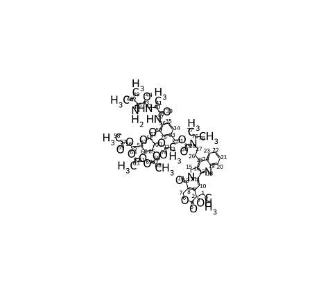 CC[C@@]1(O)C(=O)OCc2c1cc1n(c2=O)Cc2c-1nc1ccccc1c2CCN(C(=O)OCc1ccc(NC(=O)[C@H](C)NC(=O)[C@@H](N)C(C)C)c(O[C@@H]2O[C@H](COC(C)=O)[C@H](OC(C)=O)[C@H](OC(C)=O)[C@H]2OC(C)=O)c1)C(C)C